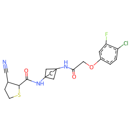 N#CC1CCSC1C(=O)NC12CC(NC(=O)COc3ccc(Cl)c(F)c3)(C1)C2